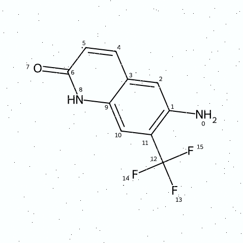 Nc1cc2c[c]c(=O)[nH]c2cc1C(F)(F)F